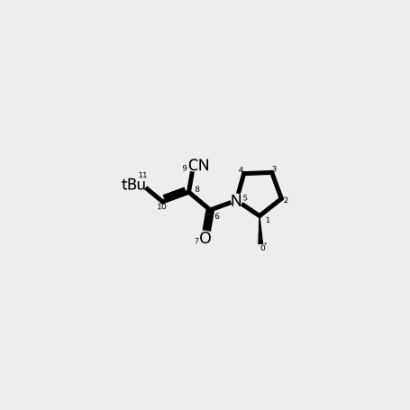 [CH2][C@@H]1CCCN1C(=O)/C(C#N)=C/C(C)(C)C